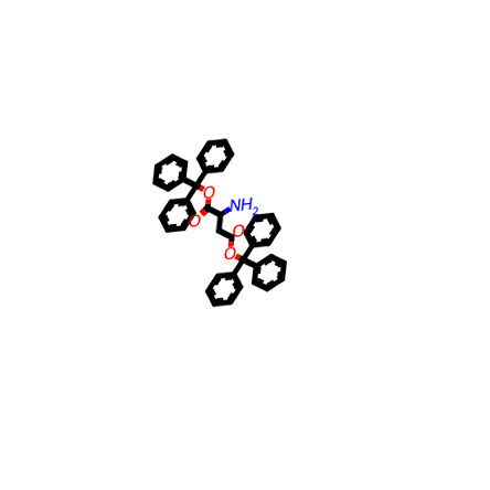 NC(CC(=O)OC(c1ccccc1)(c1ccccc1)c1ccccc1)C(=O)OC(c1ccccc1)(c1ccccc1)c1ccccc1